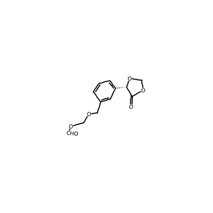 O=COCOCc1cccc([C@@H]2OCOC2=O)c1